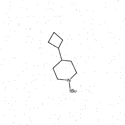 CC(C)(C)N1CCC(C2CCC2)CC1